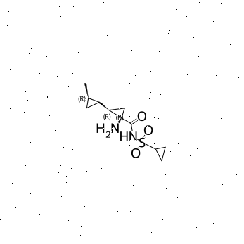 C[C@@H]1CC1[C@H]1C[C@]1(N)C(=O)NS(=O)(=O)C1CC1